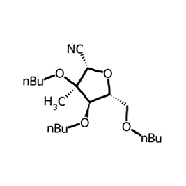 CCCCOC[C@H]1O[C@@H](C#N)[C@](C)(OCCCC)[C@@H]1OCCCC